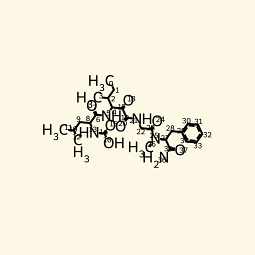 CCC(C)C(NC(=O)C(CC(C)C)NC(=O)O)C(=O)C(=O)NCC(=O)N(C)C(Cc1ccccc1)C(N)=O